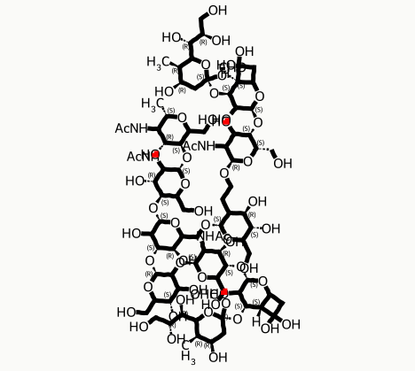 CC(=O)NC1C(O)[C@H](O[C@@H]2OC3CC(O)(O)[C@@H]3[C@H](O[C@]3(OC=O)C[C@@H](O)[C@@H](C)C([C@H](O)[C@H](O)CO)O3)C2O)[C@H](CO)O[C@H]1OCCC1[C@@H](OCC2O[C@@H](O[C@@H]3C(CO)O[C@@H](O[C@@H]4C(CO)O[C@@H](C)C(NC(C)=O)[C@H]4O)C(NC(C)=O)[C@H]3O)C(O)[C@@H](O[C@H]3OC(CO)[C@@H](O)C(O)C3O[C@@H]3OC(CO)[C@@H](O[C@@H]4OC5CC(O)(O)[C@@H]5[C@H](O[C@]5(OC=O)C[C@@H](O)[C@@H](C)C([C@H](O)[C@H](O)CO)O5)C4O)[C@H](O)C3NC(C)=O)[C@@H]2O)OC(CO)[C@@H](O)[C@@H]1O